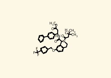 COC(=O)CC(NC(=O)C1c2cc(OCc3ccc(C(F)(F)F)cc3)ccc2CCN1C(=O)CC(C)(C)C)c1ccc(-c2ccccc2)cc1